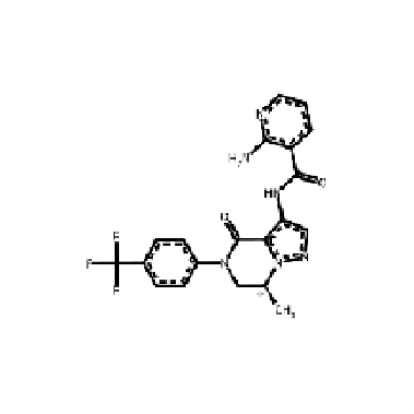 C[C@H]1CN(c2ccc(C(F)(F)F)cc2)C(=O)c2c(NC(=O)c3cccnc3N)cnn21